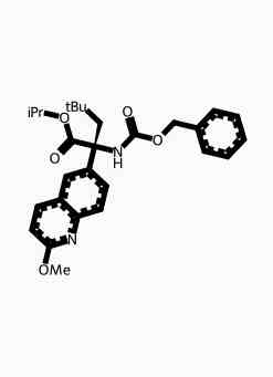 COc1ccc2cc([C@@](CC(C)(C)C)(NC(=O)OCc3ccccc3)C(=O)OC(C)C)ccc2n1